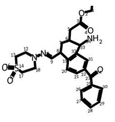 CCOC(=O)CC1CC(C=NN2CCS(=O)(=O)CC2)c2ccc(C(=O)c3ccccc3)cc2C1N